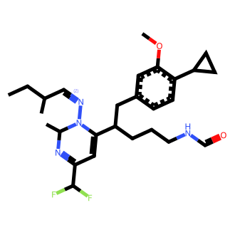 CCC(C)/C=N\N1C(C(CCCNC=O)Cc2ccc(C3CC3)c(OC)c2)=CC(C(F)F)=NC1C